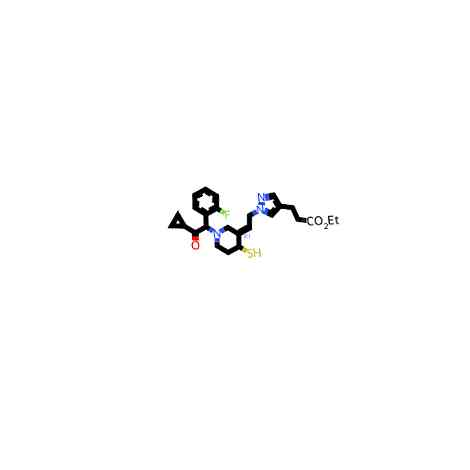 CCOC(=O)CCc1cnn(C/C=C2\CN(C(C(=O)C3CC3)c3ccccc3F)CCC2S)c1